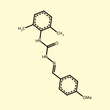 COc1ccc(/C=N/NC(=O)Nc2c(C)cccc2C)cc1